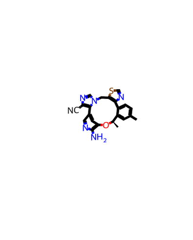 Cc1ccc2c(c1)[C@@H](C)Oc1cc(cnc1N)-c1c(C#N)ncn1Cc1scnc1-2